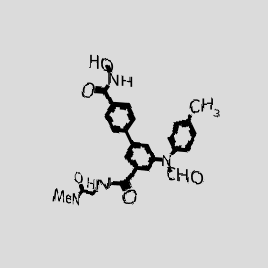 CNC(=O)CNC(=O)c1cc(-c2ccc(C(=O)NO)cc2)cc(N(C=O)c2ccc(C)cc2)c1